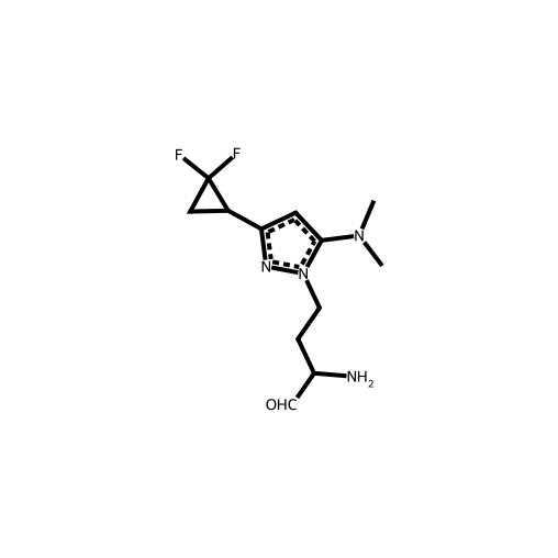 CN(C)c1cc(C2CC2(F)F)nn1CCC(N)C=O